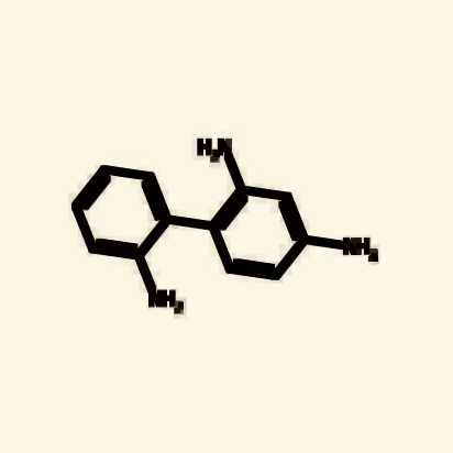 Nc1ccc(-c2ccccc2N)c(N)c1